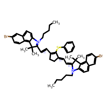 CCCCCN1/C(=C/C=C2\CCC(/C=C/C3=[N+](CCCCC)c4ccc5cc(Br)ccc5c4C3(C)C)=C2Sc2ccccc2)C(C)(C)c2c1ccc1cc(Br)ccc21